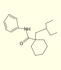 CCC(CC)CC1(C(=O)Nc2[c]cccc2)CCCCC1